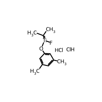 C[C](C)=[Ti]([F])[O]c1cc(C)cc(C)c1.Cl.Cl